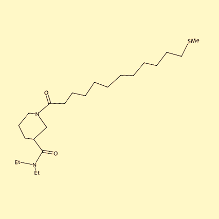 CCN(CC)C(=O)C1CCCN(C(=O)CCCCCCCCCCCSC)C1